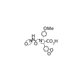 COc1ccc([C@@H]2[C@@H](C(=O)O)[C@@H](c3ccc4c(c3)OCO4)CN2CC(=O)NN2CCOCC2)cc1